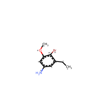 CCc1cc(N)cc(OC)c1Br